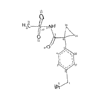 CC(C)Cc1ccc(C2(C(=O)NS(C)(=O)=O)CC2)cc1